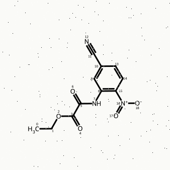 CCOC(=O)C(=O)Nc1cc(C#N)ccc1[N+](=O)[O-]